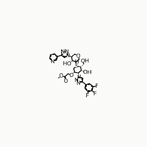 COC(=O)CO[C@H]1C[SH]([C@@H]2COC[C@H](n3cc(-c4cccnc4)nn3)[C@H]2O)[C@H](CO)[C@H](O)[C@@H]1n1cc(-c2cc(F)c(F)c(F)c2)nn1